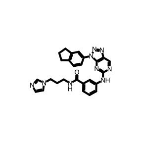 O=C(NCCCn1ccnc1)c1cccc(Nc2ncc3nnn(-c4ccc5c(c4)CCC5)c3n2)c1